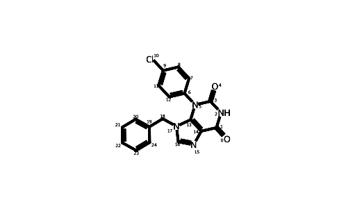 O=c1[nH]c(=O)n(-c2ccc(Cl)cc2)c2c1ncn2Cc1ccccc1